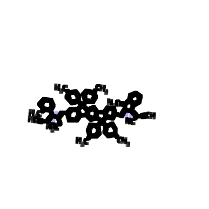 C#C/C(C#N)=C(/C(C=C)=C/c1ccc2c(c1)C(c1ccc(C)cc1)(c1ccc(C)cc1)c1cc3c(cc1-2)C(C1=CC=C(C)CC1)(c1ccc(C)cc1)c1cc(/C=C2\C(=C)c4ccccc4\C2=C(/C#C)C#N)ccc1-3)c1ccccc1C